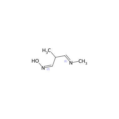 C/N=C/C(C)/C=N\O